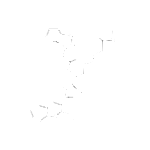 CNC(=O)CCCCCC(NC(=O)Cn1nnc2ccccc21)c1ncc(-c2cc3ccccc3nc2OC)[nH]1